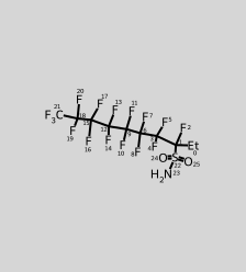 CCC(F)(C(F)(F)C(F)(F)C(F)(F)C(F)(F)C(F)(F)C(F)(F)C(F)(F)F)S(N)(=O)=O